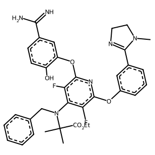 CCOC(=O)C(C)(C)N(Cc1ccccc1)c1c(F)c(Oc2cccc(C3=NCCN3C)c2)nc(Oc2cc(C(=N)N)ccc2O)c1F